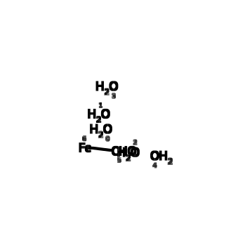 O.O.O.O.O.O=[CH][Fe]